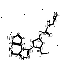 CC[C@@H]1C[C@H](OC(=O)NCC#N)C[C@@H]1c1nnc2cnc3[nH]ccc3n12